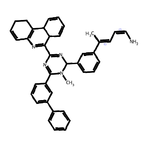 C/C(=C\C=C/N)c1cccc(C2N=C(C3=NC4=C(CCC=C4)C4C=CC=CC34)N=C(c3cccc(-c4ccccc4)c3)N2C)c1